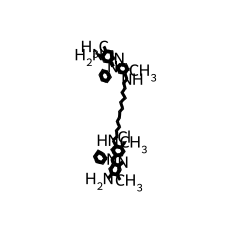 Cc1cc2nc3cc(C)c(NCCCCCCCCCCCC(Cl)Nc4cc5c(cc4C)nc4cc(C)c(N)cc4[n+]5-c4ccccc4)cc3[n+](-c3ccccc3)c2cc1N